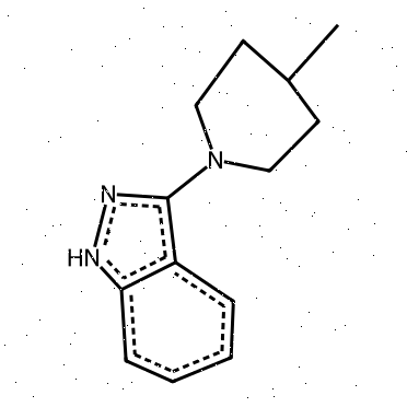 CC1CCN(c2n[nH]c3ccccc23)CC1